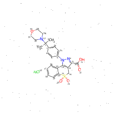 CC(C)(c1ccc(-n2nc(C(=O)O)c3c2-c2ccccc2S(=O)(=O)C3)cc1)N1CCOCC1.Cl